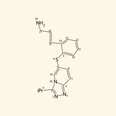 CC(C)c1nnc2ccc(Sc3ccccc3C=CCN)cn12